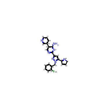 Nc1nc(-c2cc(C3=NCC=C3)n(Cc3ccccc3F)n2)ncc1-c1cccnc1